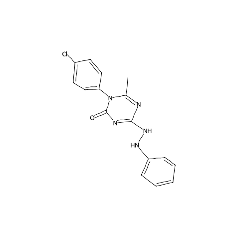 Cc1nc(NNc2ccccc2)nc(=O)n1-c1ccc(Cl)cc1